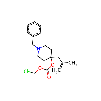 C=C(C)CC1(OC(=O)OCCl)CCN(Cc2ccccc2)CC1